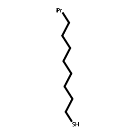 CC(C)CCCCCCCCS